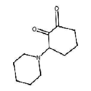 O=C1CCCC(N2CCCCC2)C1=O